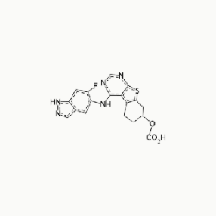 O=C(O)OC1CCc2c(sc3ncnc(Nc4cc5cn[nH]c5cc4F)c23)C1